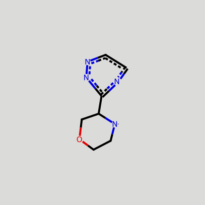 c1cnc(C2COCC[N]2)nn1